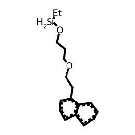 CC[SiH2]OCCCOCCc1cccc2ccccc12